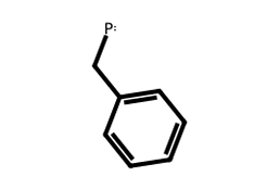 [P]Cc1ccccc1